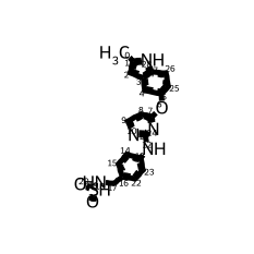 Cc1cc2cc(Oc3ccnc(Nc4ccc(CN[SH](=O)=O)cc4)n3)ccc2[nH]1